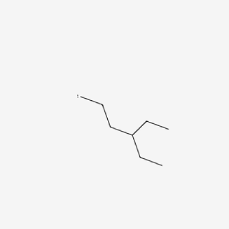 [CH]CCC(CC)CC